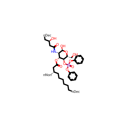 CCCCCCCCCCCCCCCC[C@H](CCCCCCCCC)CC(=O)O[C@@H]1[C@H](NC(=O)C[C@H](O)CCCCCCCCCCC)[C@@H](O)O[C@H](CO)[C@H]1OP(=O)(Oc1ccccc1)Oc1ccccc1